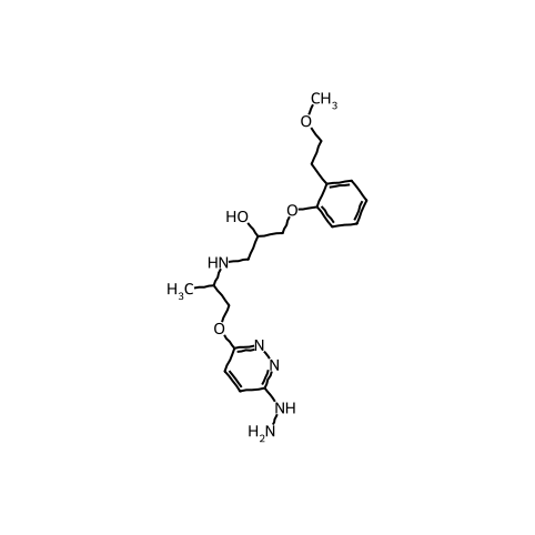 COCCc1ccccc1OCC(O)CNC(C)COc1ccc(NN)nn1